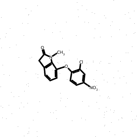 CN1C(=O)Cc2cccc(Oc3ccc([N+](=O)[O-])cc3Cl)c21